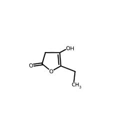 CCC1=C(O)CC(=O)O1